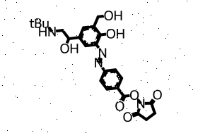 CC(C)(C)NCC(O)c1cc(CO)c(O)c(N=Nc2ccc(C(=O)ON3C(=O)CCC3=O)cc2)c1